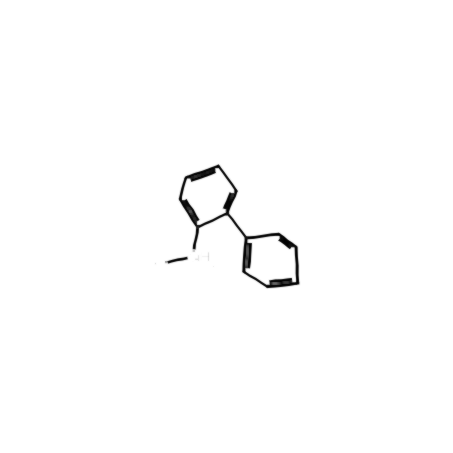 Cl[SiH2]c1ccccc1-c1ccccc1